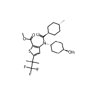 COC(=O)c1sc(C(C)(C)C(F)(F)F)cc1N(C(=O)[C@H]1CC[C@H](C)CC1)[C@H]1CC[C@H](O)CC1